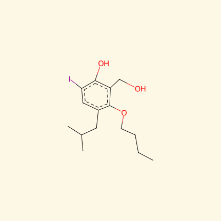 CCCCOc1c(CC(C)C)cc(I)c(O)c1CO